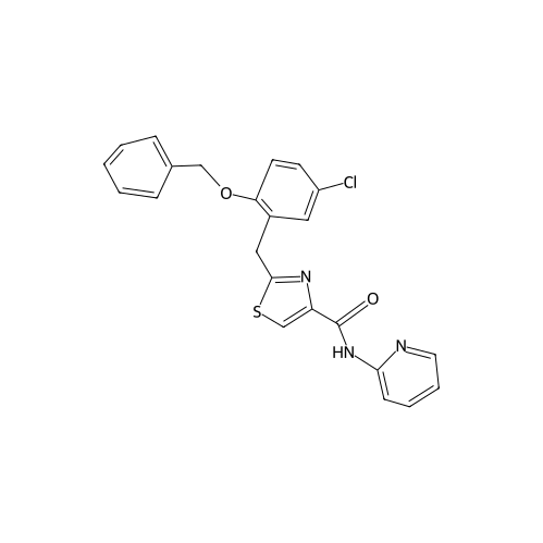 O=C(Nc1ccccn1)c1csc(Cc2cc(Cl)ccc2OCc2ccccc2)n1